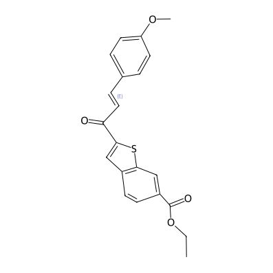 CCOC(=O)c1ccc2cc(C(=O)/C=C/c3ccc(OC)cc3)sc2c1